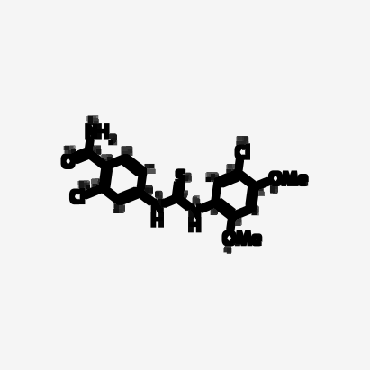 COc1cc(OC)c(NC(=S)Nc2ccc(C(N)=O)c(Cl)c2)cc1Cl